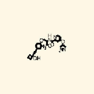 CN1C(=O)C(NC(=O)c2cc(Oc3cnn(C)c3)ccn2)COc2ccc(C#CC3(O)CCC3)cc21